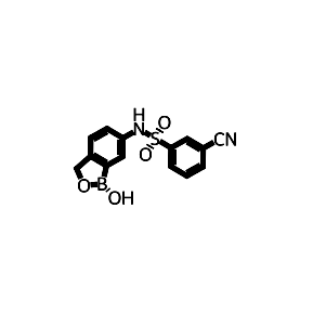 N#Cc1cccc(S(=O)(=O)Nc2ccc3c(c2)B(O)OC3)c1